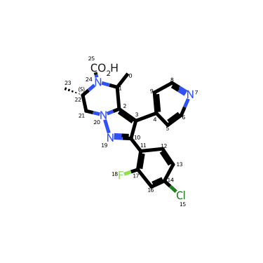 CC1c2c(-c3ccncc3)c(-c3ccc(Cl)cc3F)nn2C[C@H](C)N1C(=O)O